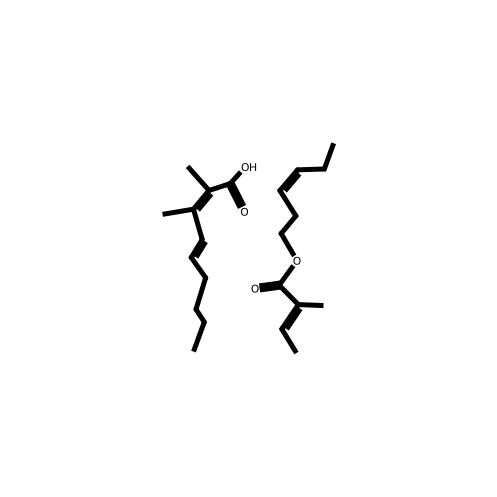 C/C=C(\C)C(=O)OCC/C=C\CC.CCCC/C=C/C(C)=C(/C)C(=O)O